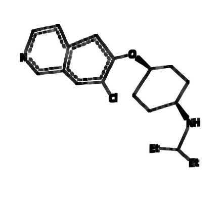 CCC(CC)N[C@H]1CC[C@@H](Oc2cc3ccncc3cc2Cl)CC1